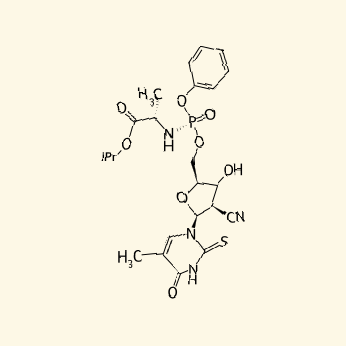 Cc1cn([C@H]2O[C@@H](CO[P@@](=O)(N[C@@H](C)C(=O)OC(C)C)Oc3ccccc3)C(O)[C@H]2C#N)c(=S)[nH]c1=O